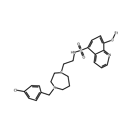 CCOc1ccc(S(=O)(=O)NCCN2CCCN(Cc3ccc(Cl)cc3)CC2)c2cccnc12